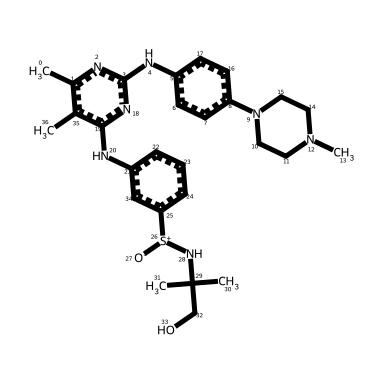 Cc1nc(Nc2ccc(N3CCN(C)CC3)cc2)nc(Nc2cccc([S+]([O-])NC(C)(C)CO)c2)c1C